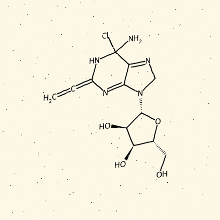 C=C=C1N=C2C(=NCN2[C@@H]2O[C@H](CO)[C@@H](O)[C@H]2O)C(N)(Cl)N1